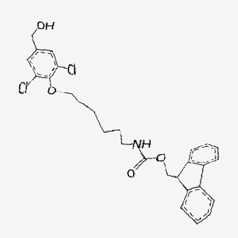 O=C(NCCCCCCOc1c(Cl)cc(CO)cc1Cl)OCC1c2ccccc2-c2ccccc21